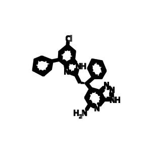 Nc1cc([C@H](Cc2nc3c(-c4ccccc4)cc(Cl)cc3[nH]2)c2ccccc2)c2nn[nH]c2n1